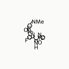 CNCC1CCN(C(=O)N2CCn3cc(C4=C(c5cnc6ccccn56)C(=O)NC4)c4cc(F)cc(c43)C2)CC1